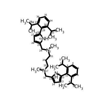 CC(C)c1cccc(C(C)C)c1-c1ccc(CN(C)CCCN(C)Cc2ccc(-c3c(C(C)C)cccc3C(C)C)[nH]2)[nH]1